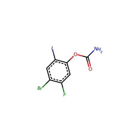 NC(=O)Oc1cc(F)c(Br)cc1I